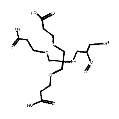 O=NC(CO)CNC(COCCC(=O)O)(COCCC(=O)O)COCCC(=O)O